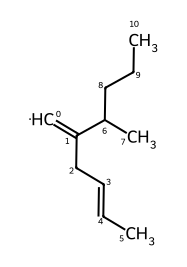 [CH]=C(CC=CC)C(C)CCC